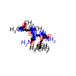 CCOC(=O)c1cc(C)nn1CCCCCc1c(C)nn(CC)c1C(=O)/N=c1\sc2cc(C(N)=O)cnc2n1CCCCn1c(N)nc2cc(C(N)=O)cc(OCCCO[Si](C)(C)C(C)(C)C)c21